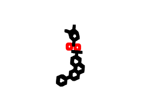 CC1C2CC(C(=O)OC(C)(C)c3ccc4c(ccc5ccc(-c6ccccc6)cc54)c3)C(C2)C1C